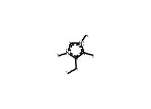 CCc1c(C)[n+](C)cn1C